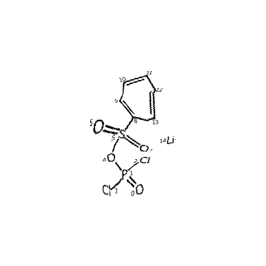 O=P(Cl)(Cl)OS(=O)(=O)c1ccccc1.[Li]